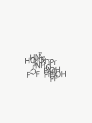 CC(C)Cc1cc(C2(NC[C@@H](O)[C@@H](N)Cc3cc(F)cc(F)c3)CC2)on1.O=C(O)C(F)(F)F.O=C(O)C(F)(F)F